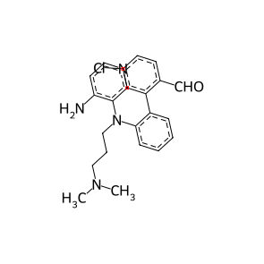 CN(C)CCCN(c1cnccc1N)c1ccccc1-c1cc(Cl)ccc1C=O